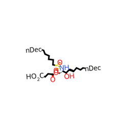 CCCCCCCCCCCCC/C=C/[C@@H](O)[C@H](COC(=O)CCC(=O)O)NS(=O)(=O)CCCCCCCCCCCCCCCC